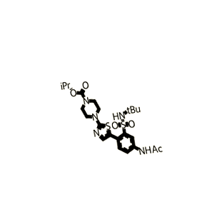 CC(=O)Nc1ccc(-c2cnc(N3CCN(C(=O)OC(C)C)CC3)s2)c(S(=O)(=O)NC(C)(C)C)c1